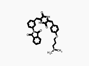 CN(C)CCCOc1ccc(C=c2[nH]c(=O)c(=Cc3cccc(N4C(=O)c5ccccc5C4=O)c3)[nH]c2=O)cc1